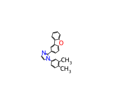 Cc1ccc(-n2ccnc2-c2ccc3oc4ccccc4c3c2)cc1C